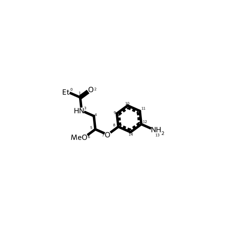 CCC(=O)NCC(OC)Oc1cccc(N)c1